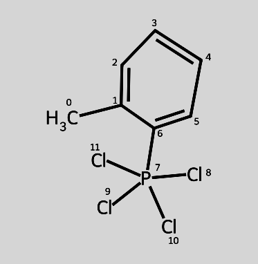 Cc1ccccc1P(Cl)(Cl)(Cl)Cl